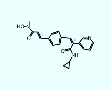 O=C(/C=C/c1ccc(/C=C(\C(=O)NC2CC2)c2cccnc2)cc1)NO